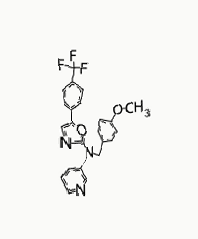 COc1ccc(CN(c2cccnc2)c2ncc(-c3ccc(C(F)(F)F)cc3)o2)cc1